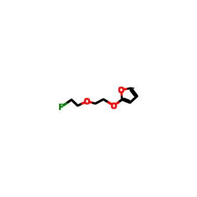 FCCOCCOc1cc[c]o1